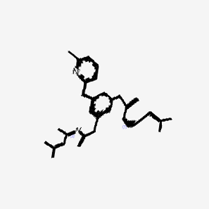 C=C(/C=C\C=C(C)C)Cc1cc(CC(=C)/N=C(/C)C=C(C)C)cc(Cc2cccc(C)n2)c1